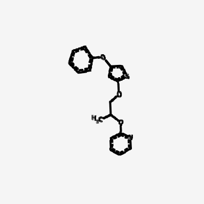 CC(COc1cc(Oc2ccccc2)cs1)Oc1ccccn1